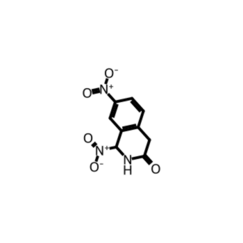 O=C1Cc2ccc([N+](=O)[O-])cc2C([N+](=O)[O-])N1